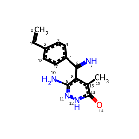 C=Cc1ccc(C(=N)c2c(N)n[nH]c(=O)c2C)cc1